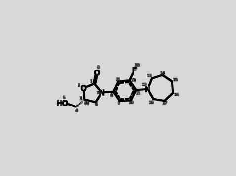 O=C1O[C@@H](CO)CN1c1ccc(N2CCCCCC2)c(F)c1